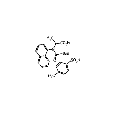 CC(C(=O)O)N(C(=O)C(C)(C)C)c1cccc2ccccc12.Cc1ccc(S(=O)(=O)O)cc1